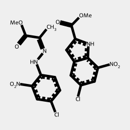 COC(=O)C(C)=NNc1ccc(Cl)cc1[N+](=O)[O-].COC(=O)c1cc2cc(Cl)cc([N+](=O)[O-])c2[nH]1